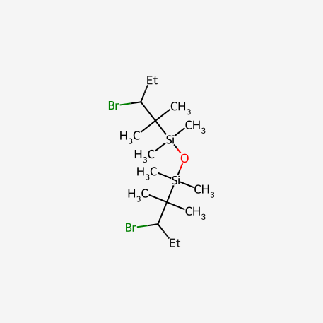 CCC(Br)C(C)(C)[Si](C)(C)O[Si](C)(C)C(C)(C)C(Br)CC